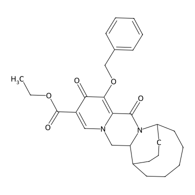 CCOC(=O)c1cn2c(c(OCc3ccccc3)c1=O)C(=O)N1C3CCCCCC(CCC3)C1C2